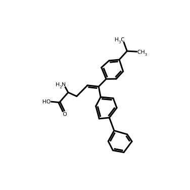 CC(C)c1ccc(C(=CCC(N)C(=O)O)c2ccc(-c3ccccc3)cc2)cc1